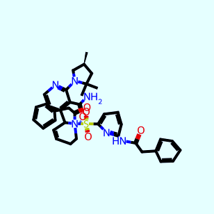 C[C@@H]1CN(c2nccc(C3C=CCC[N+]3(C(=O)Cc3ccccc3)S(=O)(=O)c3cccc(NC(=O)Cc4ccccc4)n3)c2C(N)=O)C(C)(C)C1